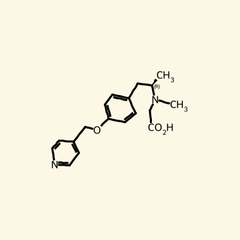 C[C@H](Cc1ccc(OCc2ccncc2)cc1)N(C)CC(=O)O